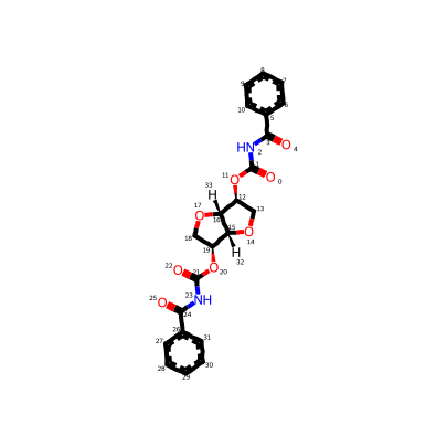 O=C(NC(=O)c1ccccc1)O[C@H]1CO[C@H]2[C@@H]1OC[C@@H]2OC(=O)NC(=O)c1ccccc1